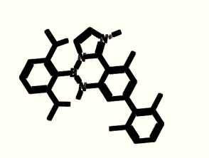 Cc1cccc(C)c1-c1cc(C)c2c(c1)N(C)B(c1c(C(C)C)cccc1C(C)C)n1cc[n+](C)c1-2